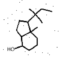 CCC(C)(C)C1CCC2C(O)CCCC21C